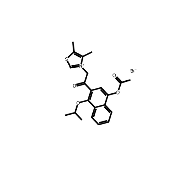 CC(=O)Oc1cc(C(=O)C[n+]2csc(C)c2C)c(OC(C)C)c2ccccc12.[Br-]